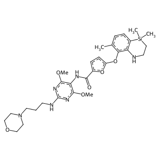 COc1nc(NCCCN2CCOCC2)nc(OC)c1NC(=O)c1ccc(Oc2c(C)ccc3c2NCC[Si]3(C)C)o1